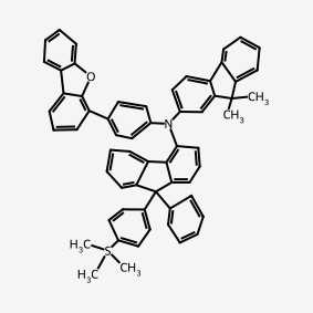 CC1(C)c2ccccc2-c2ccc(N(c3ccc(-c4cccc5c4oc4ccccc45)cc3)c3cccc4c3-c3ccccc3C4(c3ccccc3)c3ccc(S(C)(C)C)cc3)cc21